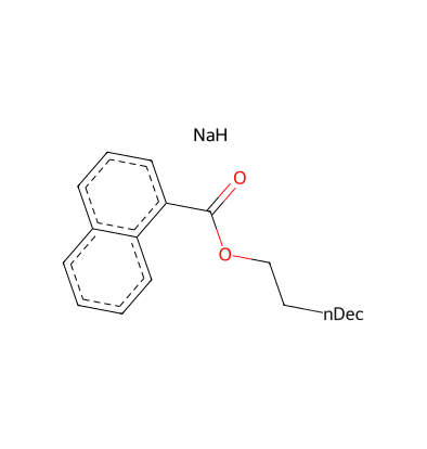 CCCCCCCCCCCCOC(=O)c1cccc2ccccc12.[NaH]